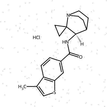 Cc1csc2cc(C(=O)N[C@@H]3C4CCN(CC4)C34CC4)ccc12.Cl